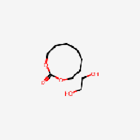 O=C1OCCCCCCCO1.OCCO